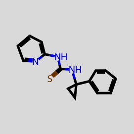 S=C(Nc1ccccn1)NC1(c2ccccc2)CC1